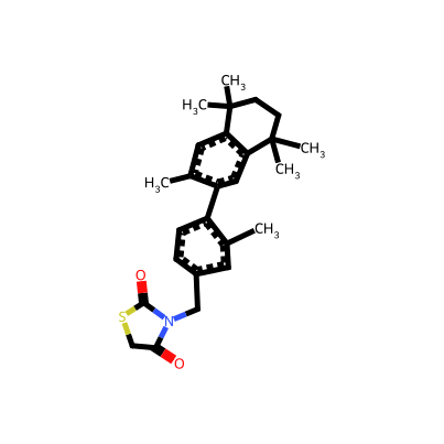 Cc1cc(CN2C(=O)CSC2=O)ccc1-c1cc2c(cc1C)C(C)(C)CCC2(C)C